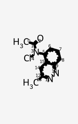 CC(=O)N(Cl)c1cccc2nnc(C)cc12